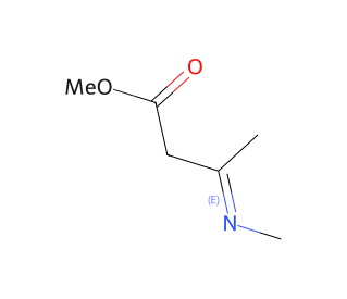 C/N=C(\C)CC(=O)OC